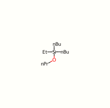 CCCC[Si](CC)(CCCC)OCCC